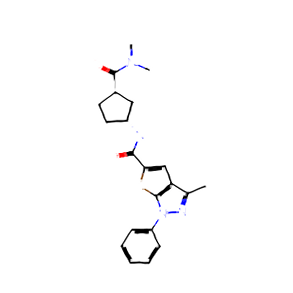 Cc1nn(-c2ccccc2)c2sc(C(=O)N[C@@H]3CC[C@@H](C(=O)N(C)C)C3)cc12